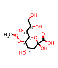 COO[C@H]1[C@H]([C@H](O)[C@H](O)CO)OC(O)(C(=O)O)C[C@@H]1O